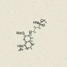 COc1cc2c(NC(C)C)ncnc2cc1OCCCS(C)(=N)=O